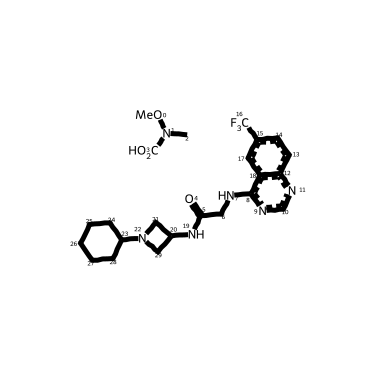 CON(C)C(=O)O.O=C(CNc1ncnc2ccc(C(F)(F)F)cc12)NC1CN(C2CCCCC2)C1